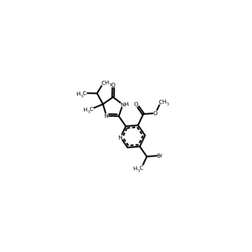 COC(=O)c1cc(C(C)Br)cnc1C1=NC(C)(C(C)C)C(=O)N1